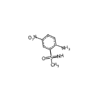 CS(=N)(=O)c1cc([N+](=O)[O-])ccc1N